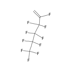 C=C(F)C(F)(F)C(F)(F)C(F)(F)C(F)(F)F